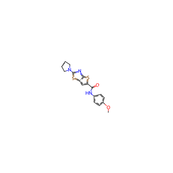 COc1ccc(NC(=O)c2cc3sc(N4CCCC4)nc3s2)cc1